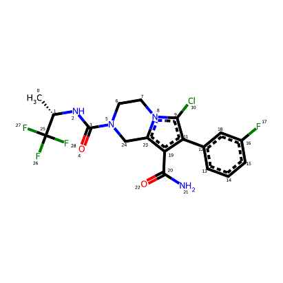 C[C@H](NC(=O)N1CCn2c(Cl)c(-c3cccc(F)c3)c(C(N)=O)c2C1)C(F)(F)F